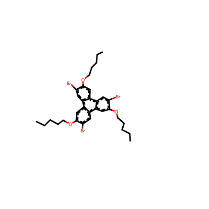 CCCCCOc1cc2c(cc1Br)c1cc(OCCCCC)c(Br)cc1c1cc(OCCCCC)c(Br)cc21